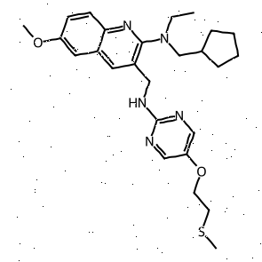 CCN(CC1CCCC1)c1nc2ccc(OC)cc2cc1CNc1ncc(OCCSC)cn1